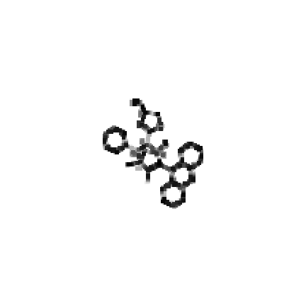 CC1=C(c2c3ccccc3cc3ccccc23)[P@@]2(=S)C[C@@]1(C)[C@H](c1ccccc1)[C@@H]2C1=N[C@@H](C(C)C)CO1